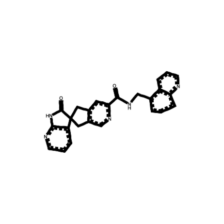 O=C(NCc1cccc2ncccc12)c1cc2c(cn1)CC1(C2)C(=O)Nc2ncccc21